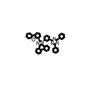 c1ccc(-c2nc(-c3ccccc3)nc(-c3cccc(-n4c(-c5cccc6c5oc5ccccc56)nc5c6ccccc6c6ccccc6c54)c3)n2)cc1